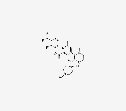 CC(=O)N1CCC(O)(c2cc3c(N[C@H](C)c4cccc(C(F)F)c4F)nc(C)nc3c3c2OCCN3C)CC1